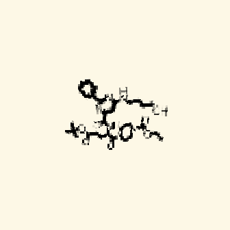 CCOC(=O)N1CCN(C(=O)C(CCC(=O)OC(C)(C)C)NC(=O)c2cc(NCCCCO)nc(-c3ccccc3)n2)CC1